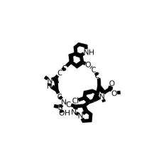 COC(=O)c1c2c3ccc(Cl)c(c3n1C)-c1c(nn3c1CCC3)CN(B(C)O)Cc1cc(n(C)n1)CSc1cc3c(c(c1)OCCC2)NCCC3